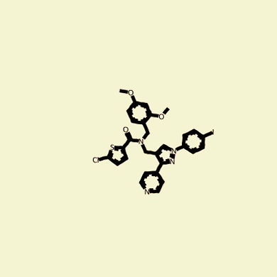 COc1ccc(CN(Cc2cn(-c3ccc(I)cc3)nc2-c2ccncc2)C(=O)c2ccc(Cl)s2)c(OC)c1